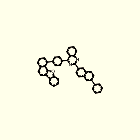 c1ccc(-c2ccc3cc(-c4nc(-c5ccc(-c6cccc7ccc8c9ccccc9oc8c67)cc5)c5ccccc5n4)ccc3c2)cc1